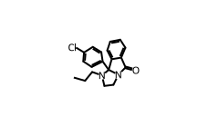 CCCN1CCN2C(=O)c3ccccc3C12c1ccc(Cl)cc1